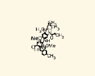 C=CC(=O)Nc1cc(Nc2ncc(Cl)c(Nc3ccc(C)cc3NSC)n2)c(OC)cc1N(C)CCN(C)C